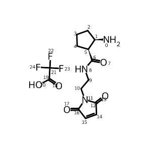 N[C@@H]1CCC[C@@H]1C(=O)NCCN1C(=O)C=CC1=O.O=C(O)C(F)(F)F